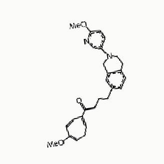 COC1=CCC=C(C(=O)CCCc2ccc3c(c2)CN(c2ccc(OC)nc2)CC3)C=C1